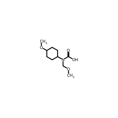 COCN(C(=O)O)C1CCC(OC)CC1